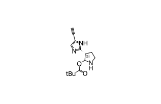 C#Cc1cnc([C@@H]2CCNC2OC(=O)C(C)(C)C)[nH]1